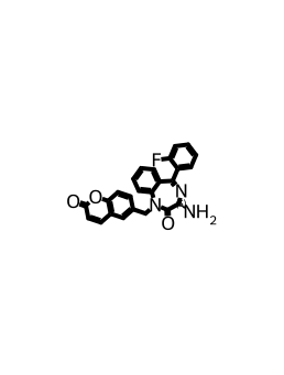 N[C@H]1N=C(c2ccccc2F)c2ccccc2N(Cc2ccc3oc(=O)ccc3c2)C1=O